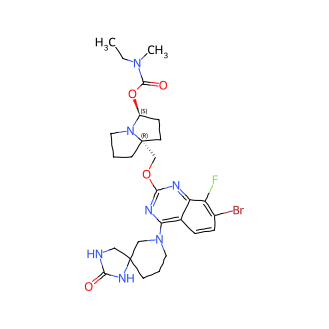 CCN(C)C(=O)O[C@H]1CC[C@@]2(COc3nc(N4CCCC5(CNC(=O)N5)C4)c4ccc(Br)c(F)c4n3)CCCN12